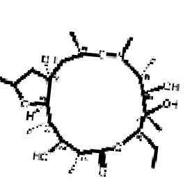 CC[C@H]1OC(=O)[C@H](C)[C@@H](O)[C@H](C)[C@H]2OC(C)C[C@@]2(O)C[C@@H](C)CN(C)[C@H](C)[C@@H](O)[C@]1(C)O